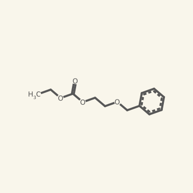 CCOC(=O)OCCOCc1ccccc1